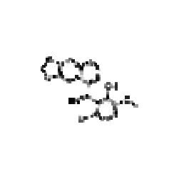 COc1ccc(Br)c(C(=N)c2cccc3cc4c(cc23)OCO4)c1O